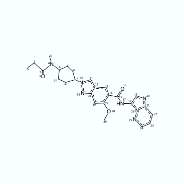 CCC(=O)N(C)C1CCC(n2cc3cc(C(=O)Nc4cnc5cccnn45)c(OC)cc3n2)CC1